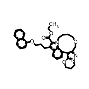 CCOC(=O)c1c(CCCOc2cccc3ccccc23)c2cccc3c2n1CCCCOCc1nn2c(c1-3)OCCC2